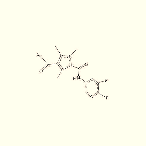 CC(=O)C(=O)c1c(C)c(C(=O)Nc2ccc(F)c(F)c2)n(C)c1C